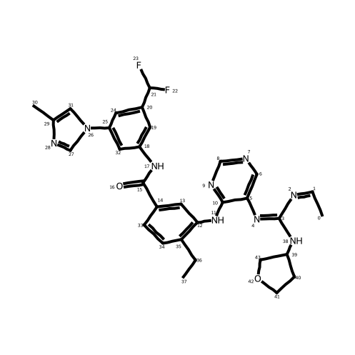 C/C=N\C(=N/c1cncnc1Nc1cc(C(=O)Nc2cc(C(F)F)cc(-n3cnc(C)c3)c2)ccc1CC)NC1CCOC1